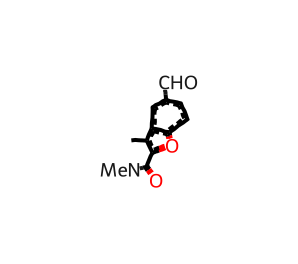 CNC(=O)c1oc2ccc(C=O)cc2c1C